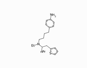 CCCC(Cc1cccs1)N(CC)CCCCc1ccc(N)cc1